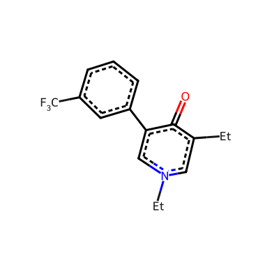 CCc1cn(CC)cc(-c2cccc(C(F)(F)F)c2)c1=O